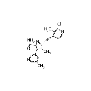 Cc1cncc(-n2c(C(N)=O)nc(C#Cc3ccnc(Cl)c3C)c2C)c1